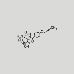 CC#CCOc1ccc(C(=O)N[C@H](C(=O)NO)C(C)(C)N)cc1